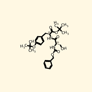 CC(C)(C)OC(=O)[C@H](Cc1ccc(OC(C)(C)C)cc1)NC(=O)[C@H](CO)NC(=O)OCc1ccccc1